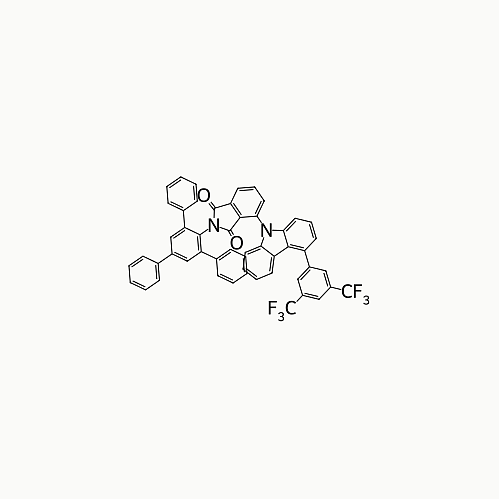 O=C1c2cccc(-n3c4ccccc4c4c(-c5cc(C(F)(F)F)cc(C(F)(F)F)c5)cccc43)c2C(=O)N1c1c(-c2ccccc2)cc(-c2ccccc2)cc1-c1ccccc1